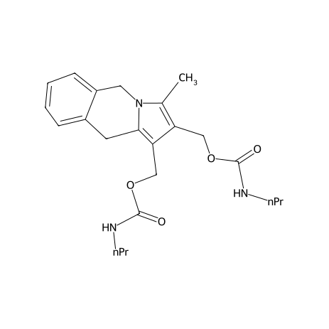 CCCNC(=O)OCc1c(COC(=O)NCCC)c2n(c1C)Cc1ccccc1C2